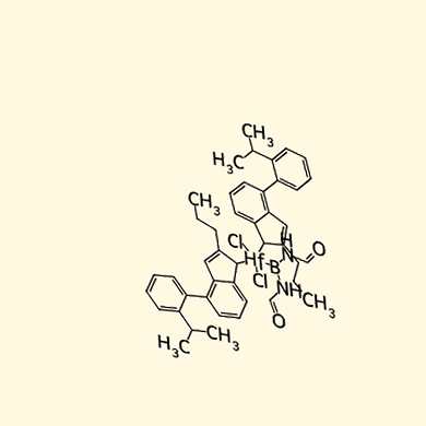 CCCC1=Cc2c(-c3ccccc3C(C)C)cccc2[CH]1[Hf]([Cl])([Cl])([B](NC=O)NC=O)[CH]1C(CCC)=Cc2c(-c3ccccc3C(C)C)cccc21